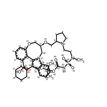 CN(CCN1CCCC1CO[C@@H]1COc2cccc(C(=O)O)c2-c2c(C3CCCCC3)c3ccccc3n2C1)S(=O)(=O)NC(=O)OC(C)(C)C